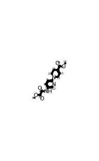 COC(=O)C(=O)Nc1ccc(N2CC=C(C(=O)OC)CC2)nc1